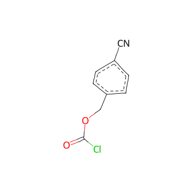 N#Cc1ccc(COC(=O)Cl)cc1